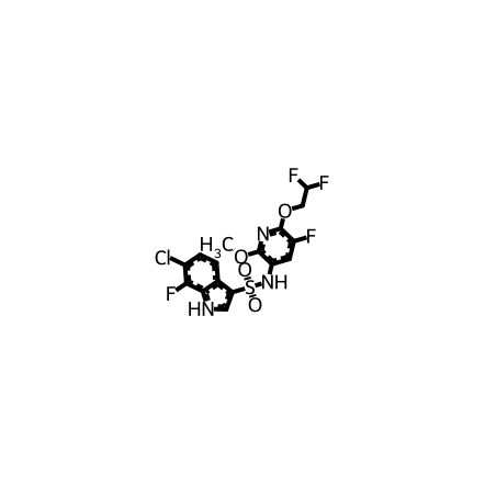 COc1nc(OCC(F)F)c(F)cc1NS(=O)(=O)c1c[nH]c2c(F)c(Cl)ccc12